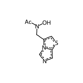 CC(=O)N(O)Cc1csc2cncn12